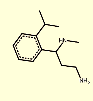 CNC(CCN)c1ccccc1C(C)C